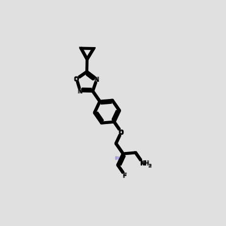 NC/C(=C\F)COc1ccc(-c2noc(C3CC3)n2)cc1